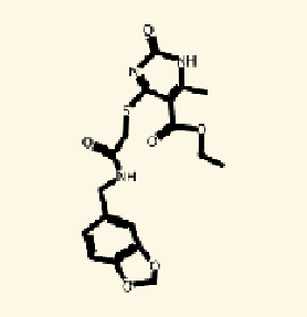 CCOC(=O)c1c(SCC(=O)NCc2ccc3c(c2)OCO3)nc(=O)[nH]c1C